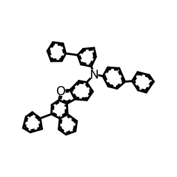 c1ccc(-c2ccc(N(c3cccc(-c4ccccc4)c3)c3ccc4c(c3)oc3cc(-c5ccccc5)c5ccccc5c34)cc2)cc1